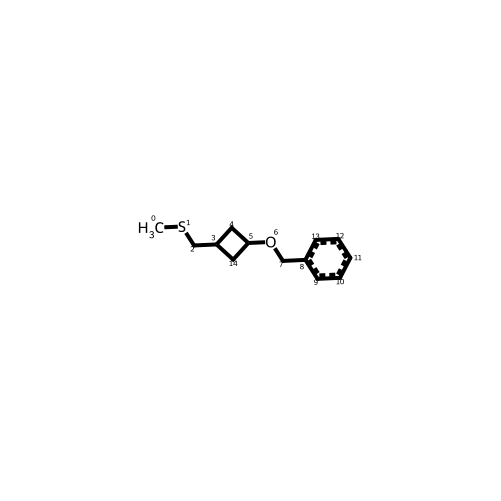 CSCC1CC(OCc2ccccc2)C1